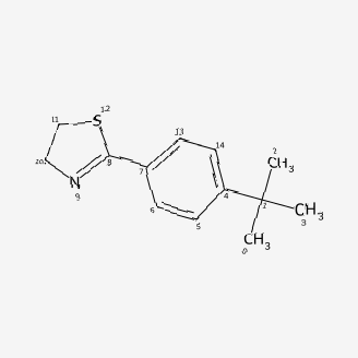 CC(C)(C)c1ccc(C2=N[CH]CS2)cc1